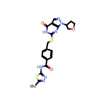 CC(C)(C)c1nnc(NC(=O)c2ccc(CSc3nc4c(cnn4C4CCOC4)c(=O)[nH]3)cc2)s1